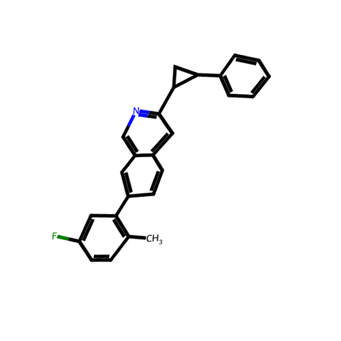 Cc1ccc(F)cc1-c1ccc2cc(C3CC3c3ccccc3)ncc2c1